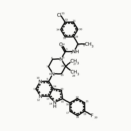 CC(NC(=O)N1CCN(c2ncnc3[nH]c(-c4ccc(F)cc4)cc23)CC1(C)C)c1ccc(Cl)cc1